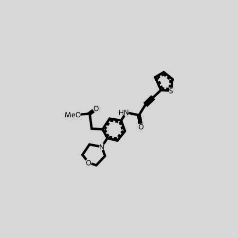 COC(=O)Cc1cc(NC(=O)C#Cc2cccs2)ccc1N1CCOCC1